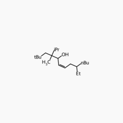 CCCCC(CC)C/C=C\C(O)C(C)(CC(C)(C)C)C(C)C